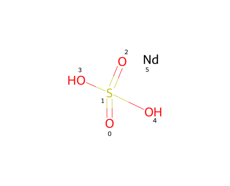 O=S(=O)(O)O.[Nd]